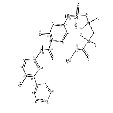 CC(C)(CC(C)(C)C(=O)NO)CS(=O)(=O)Nc1ccc(C(=O)Nc2ccc(Cl)c(-c3ccccn3)c2)c(Cl)c1